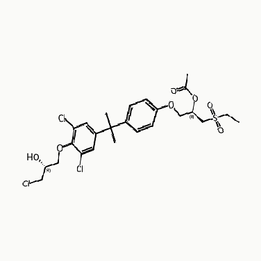 CCS(=O)(=O)C[C@@H](COc1ccc(C(C)(C)c2cc(Cl)c(OC[C@@H](O)CCl)c(Cl)c2)cc1)OC(C)=O